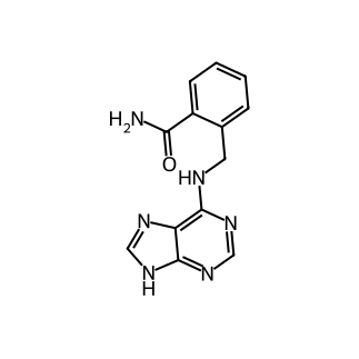 NC(=O)c1ccccc1CNc1ncnc2[nH]cnc12